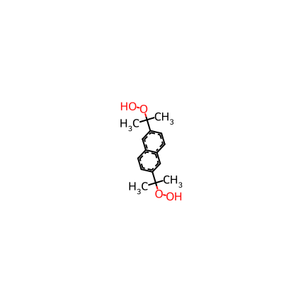 CC(C)(OO)c1ccc2cc(C(C)(C)OO)ccc2c1